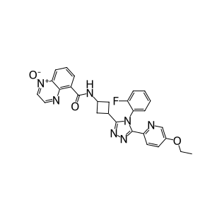 CCOc1ccc(-c2nnc(C3CC(NC(=O)c4cccc5c4ncc[n+]5[O-])C3)n2-c2ccccc2F)nc1